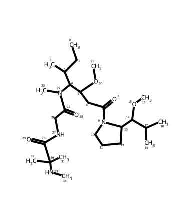 CCC(C)C(C(CC(=O)N1CCCC1C(OC)C(C)C)OC)N(C)C(=O)CNC(=O)C(C)(C)NC